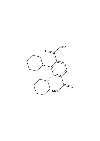 COC(=O)c1ccc(C(=O)OC)c(C2CCCCC2)c1C1CCCCC1